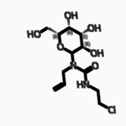 C=CCN(C(=O)NCCCl)C1O[C@H](CO)[C@H](O)[C@H](O)[C@H]1O